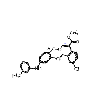 CO/C=C(/C(=O)OC)c1ccc(Cl)cc1COc1cccc(Nc2cccc(C)c2)c1